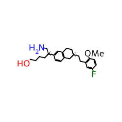 COc1ccc(F)cc1CC[C@@H]1CCc2cc([C@H](CN)CCCCO)ccc2C1